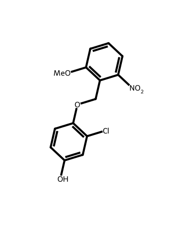 COc1cccc([N+](=O)[O-])c1COc1ccc(O)cc1Cl